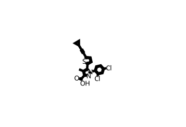 Cc1c(C(=O)O)nn(-c2ccc(Cl)cc2Cl)c1-c1ccc(C#CC2CC2)s1